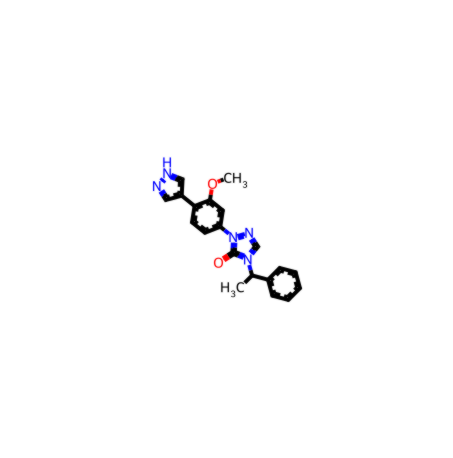 COc1cc(-n2ncn(C(C)c3ccccc3)c2=O)ccc1-c1cn[nH]c1